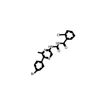 Cc1nc(NC(=O)NC(=O)c2ccccc2Cl)cnc1-c1ccc(Br)cc1